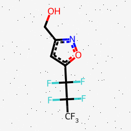 OCc1cc(C(F)(F)C(F)(F)C(F)(F)F)on1